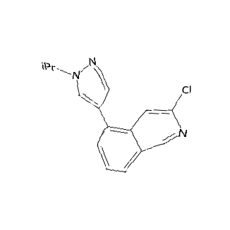 CC(C)n1cc(-c2cccc3cnc(Cl)cc23)cn1